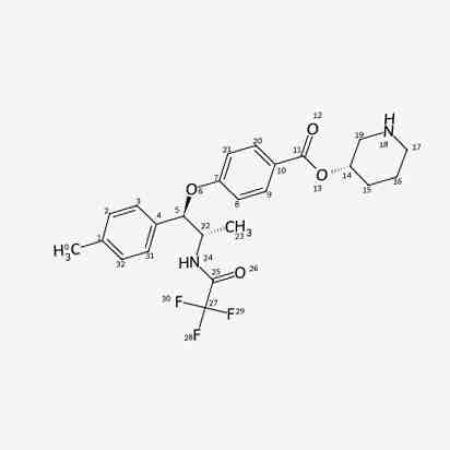 Cc1ccc([C@@H](Oc2ccc(C(=O)O[C@H]3CCCNC3)cc2)[C@H](C)NC(=O)C(F)(F)F)cc1